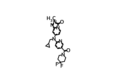 Cn1nc2cc(N(CC3CC3)c3ccc(C(=O)N4CCC(F)(F)CC4)cn3)ccn2c1=O